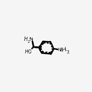 Nc1ccc(C(N)O)cc1